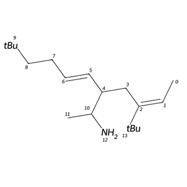 C/C=C(\CC(/C=C/CCC(C)(C)C)C(C)N)C(C)(C)C